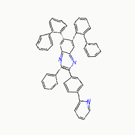 c1ccc(-c2ccccc2-c2cc3nc(-c4ccccc4)c(-c4ccc(-c5ccccn5)cc4)nc3cc2-c2ccccc2-c2ccccc2)cc1